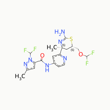 Cc1cc(C(=O)Nc2ccnc([C@]3(C)C[C@@H](COC(F)F)SC(N)=N3)c2)n(C(F)F)n1